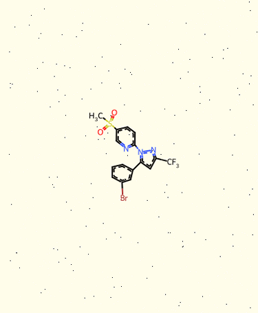 CS(=O)(=O)c1ccc(-n2nc(C(F)(F)F)cc2-c2cccc(Br)c2)nc1